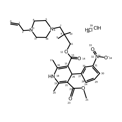 C=CCN1CCN(CC(C)(C)COC(=O)C2=C(C)NC(C)=C(C(=O)OC)C2c2cccc([N+](=O)[O-])c2)CC1.Cl.Cl